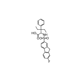 CCC(CC)(c1ccccc1)C(NS(=O)(=O)c1ccc2c(c1)Cc1cc(F)ccc1-2)C(=O)O